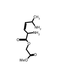 COC(=O)COC(=O)C(N)/C=C\C(C)N